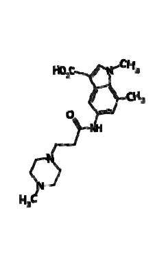 Cc1cc(NC(=O)CCN2CCN(C)CC2)cc2c(C(=O)O)cn(C)c12